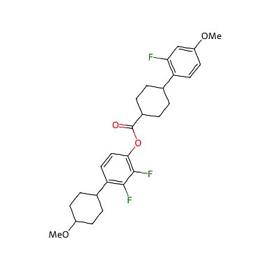 COc1ccc(C2CCC(C(=O)Oc3ccc(C4CCC(OC)CC4)c(F)c3F)CC2)c(F)c1